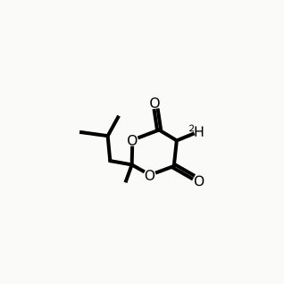 [2H]C1C(=O)OC(C)(CC(C)C)OC1=O